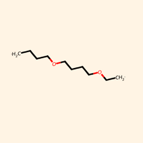 [CH2]CCCOCCCCOC[CH2]